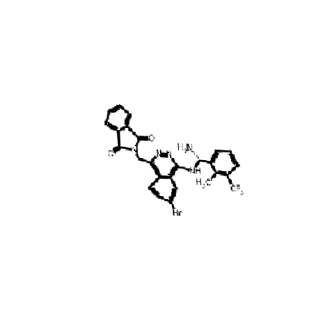 Cc1c([C@@H](N)Nc2nnc(CN3C(=O)c4ccccc4C3=O)c3ccc(Br)cc23)cccc1C(F)(F)F